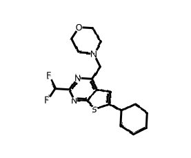 FC(F)c1nc(CN2CCOCC2)c2cc(C3CCCCC3)sc2n1